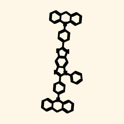 c1ccc(-n2c(-c3ccc(N4c5ccccc5Cc5ccccc54)cc3)nc3cc4sc(-c5ccc(N6c7ccccc7Cc7ccccc76)cc5)nc4cc32)cc1